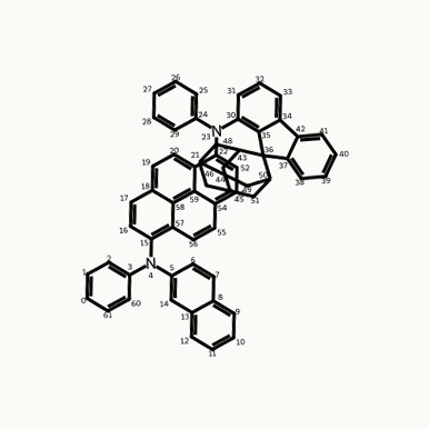 c1ccc(N(c2ccc3ccccc3c2)c2ccc3ccc4c(N(c5ccccc5)c5cccc6c5C5(c7ccccc7-6)C6CC7CC(C6)CC5C7)ccc5ccc2c3c54)cc1